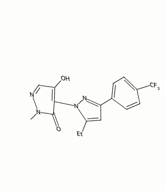 CCc1cc(-c2ccc(C(F)(F)F)cc2)nn1-c1c(O)cnn(C)c1=O